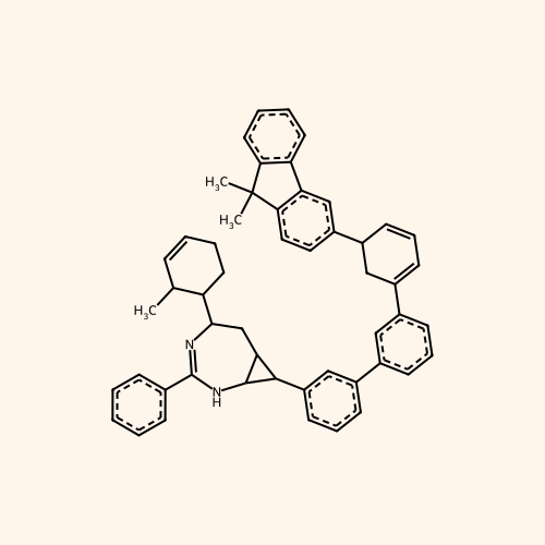 CC1C=CCCC1C1CC2C(NC(c3ccccc3)=N1)C2c1cccc(-c2cccc(C3=CC=CC(c4ccc5c(c4)-c4ccccc4C5(C)C)C3)c2)c1